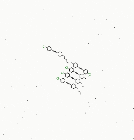 CC1CCC(C#Cc2ccc(Cl)cc2)CC1.CCC1CCC(C#Cc2ccc(Cl)cc2)CC1.CCCC1CCC(C#Cc2ccc(Cl)cc2)CC1.CCCCC1CCC(C#Cc2ccc(Cl)cc2)CC1.CCCCCC1CCC(C#Cc2ccc(Cl)cc2)CC1